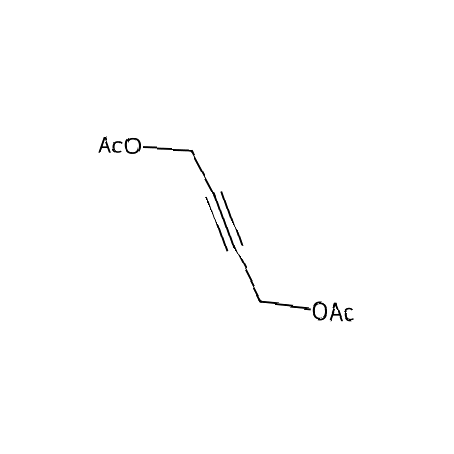 CC(=O)OCC#CCOC(C)=O